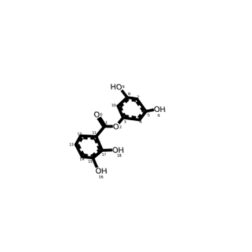 O=C(Oc1cc(O)cc(O)c1)c1cccc(O)c1O